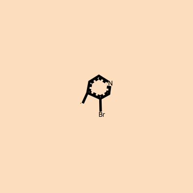 [CH2]c1ccncc1Br